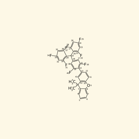 CC1(C)c2ccccc2Oc2ccc(-c3c(F)cc(C(c4c(F)cc(F)cc4F)c4c(F)cc(F)cc4F)cc3F)cc21